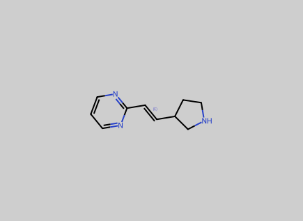 C(=C\C1CCNC1)/c1ncccn1